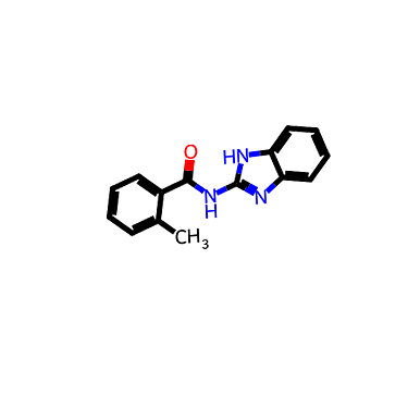 Cc1ccccc1C(=O)Nc1nc2ccccc2[nH]1